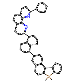 CS1(C)c2ccccc2-c2c1ccc1cc(-c3cccc4c(-c5ccc6ccc7ccc(-c8ccccc8)nc7c6n5)cccc34)ccc21